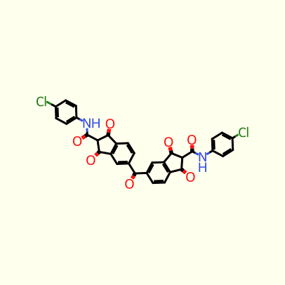 O=C(c1ccc2c(c1)C(=O)C(C(=O)Nc1ccc(Cl)cc1)C2=O)c1ccc2c(c1)C(=O)C(C(=O)Nc1ccc(Cl)cc1)C2=O